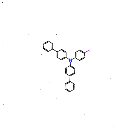 Ic1ccc(N(c2ccc(-c3ccccc3)cc2)c2ccc(-c3ccccc3)cc2)cc1